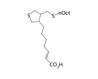 CCCCCCCCSCC1CSCC1CCCC/C=C/C(=O)O